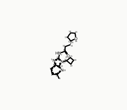 Cc1ccc2nc(NC(=O)CC[C@@H]3CCCO3)n(C3CCC3)c2n1